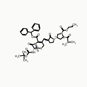 C=CCOC(=O)N1C[C@@H](N2CC/C(=C\C3=C(C(=O)OC(c4ccccc4)c4ccccc4)N4C(=O)[C@@H](NC(=O)OC(C)(C)C)[C@H]4SC3)C2=O)C[C@@H]1C(=O)N(C)C